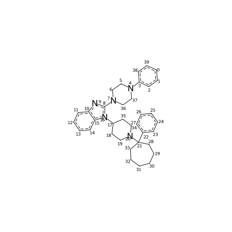 c1ccc(N2CCN(c3nc4ccccc4n3C3CCN(C4(c5ccccc5)CCCCCC4)CC3)CC2)cc1